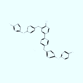 N.Nc1ccc(Nc2ccc(Cc3ccc(-c4ccc(N)c(CC5=CCC(Nc6ccc(N)cc6)C=C5)c4)cc3)cc2)cc1